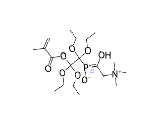 C=C(C)C(=O)OC(OCC)(OCC)C(OCC)(OCC)/[P+]([O-])=C(\O)C[N+](C)(C)C